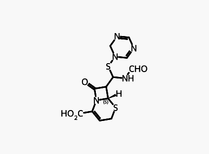 O=CNC(SN1C=NC=NC1)C1C(=O)N2C(C(=O)O)=CCS[C@@H]12